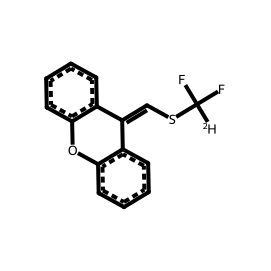 [2H]C(F)(F)SC=C1c2ccccc2Oc2ccccc21